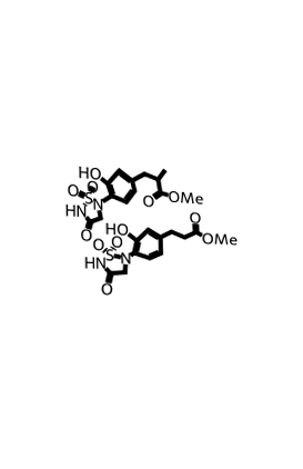 COC(=O)C(C)Cc1ccc(N2CC(=O)NS2(=O)=O)c(O)c1.COC(=O)CCc1ccc(N2CC(=O)NS2(=O)=O)c(O)c1